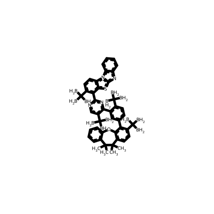 BC(B)(B)c1ccc(-c2c(C(B)(B)B)ccc3c2Oc2ccccc2C(C)(C)C3(C)C)cc1-c1nc(-c2c(C(B)(B)B)ccc3c2sc2nc4ccccc4n23)ncc1C(B)(B)B